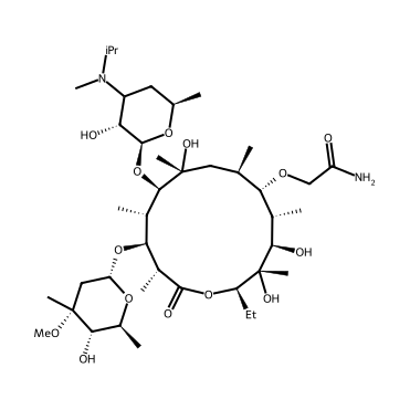 CC[C@H]1OC(=O)[C@H](C)[C@@H](O[C@H]2C[C@@](C)(OC)[C@@H](O)[C@H](C)O2)[C@H](C)[C@@H](O[C@@H]2O[C@H](C)CC(N(C)C(C)C)[C@H]2O)[C@](C)(O)C[C@@H](C)[C@H](OCC(N)=O)[C@H](C)[C@@H](O)[C@]1(C)O